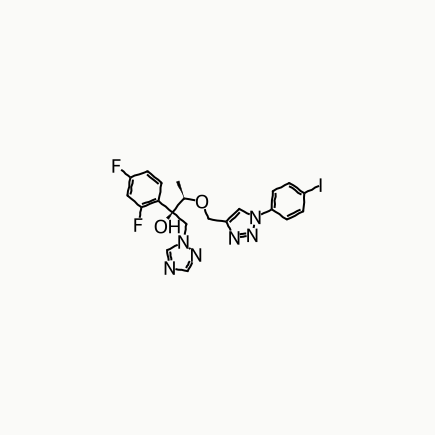 C[C@@H](OCc1cn(-c2ccc(I)cc2)nn1)[C@](O)(Cn1cncn1)c1ccc(F)cc1F